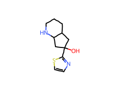 OC1(c2nccs2)CC2CCCNC2C1